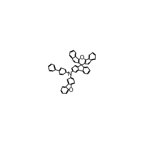 c1ccc(-c2ccc(N(c3ccc4c(c3)-c3ccccc3C43c4ccc5ccccc5c4Oc4c3ccc3ccccc43)c3ccc4oc5ccccc5c4c3)cc2)cc1